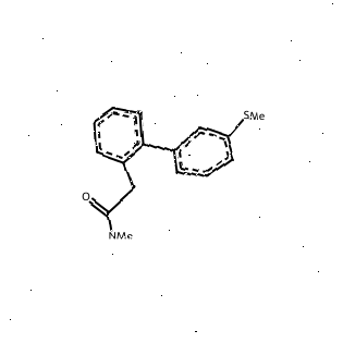 CNC(=O)Cc1ccccc1-c1cccc(SC)c1